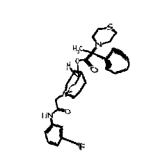 CC(C(=O)O[C@H]1C[N+]2(CC(=O)Nc3cccc(F)c3)CCC1CC2)(c1ccccc1)N1CCSCC1